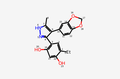 CCc1cc(-c2n[nH]c(C)c2-c2ccc3c(c2)OCO3)c(O)cc1O